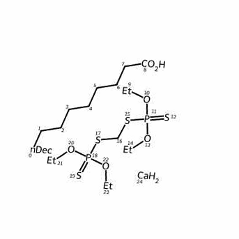 CCCCCCCCCCCCCCCCCC(=O)O.CCOP(=S)(OCC)SCSP(=S)(OCC)OCC.[CaH2]